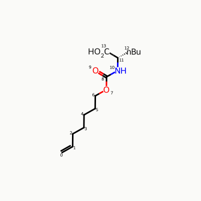 C=CCCCCCOC(=O)N[C@@H](CCCC)C(=O)O